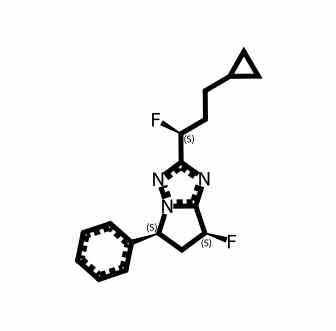 F[C@@H](CCC1CC1)c1nc2n(n1)[C@H](c1ccccc1)C[C@@H]2F